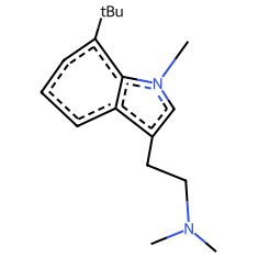 CN(C)CCc1cn(C)c2c(C(C)(C)C)cccc12